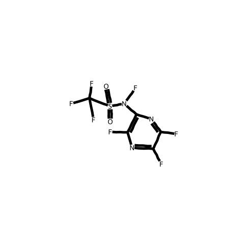 O=S(=O)(N(F)c1nc(F)c(F)nc1F)C(F)(F)F